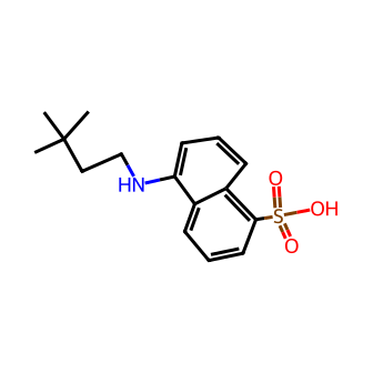 CC(C)(C)CCNc1cccc2c(S(=O)(=O)O)cccc12